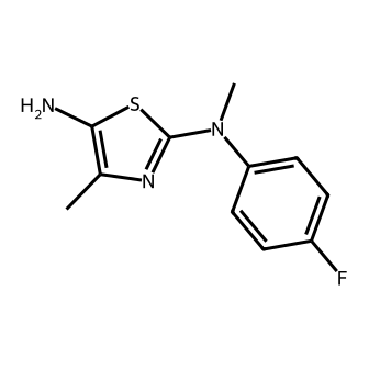 Cc1nc(N(C)c2ccc(F)cc2)sc1N